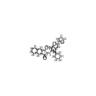 O=C1C(=Cc2nc3oc(-c4ccco4)cc3n2-c2ccccc2)C(=O)c2cc3ccccc3cc21